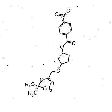 CC(C)(C)OC(=O)COC1CCC(OC(=O)c2ccc([N+](=O)[O-])cc2)C1